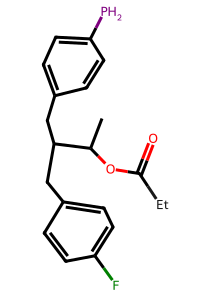 CCC(=O)OC(C)C(Cc1ccc(F)cc1)Cc1ccc(P)cc1